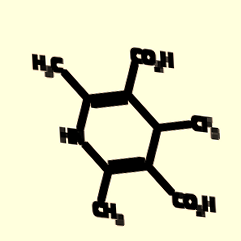 CC1=C(C(=O)O)C(C(F)(F)F)C(C(=O)O)=C(C)N1